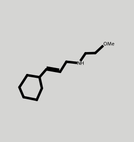 COCCNC/C=C/C1CCCCC1